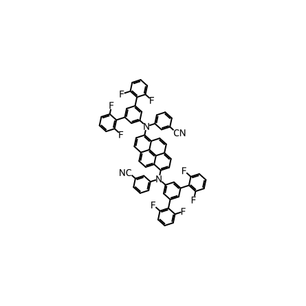 N#Cc1cccc(N(c2cc(-c3c(F)cccc3F)cc(-c3c(F)cccc3F)c2)c2ccc3ccc4c(N(c5cccc(C#N)c5)c5cc(-c6c(F)cccc6F)cc(-c6c(F)cccc6F)c5)ccc5ccc2c3c54)c1